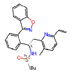 C=Cc1ccc(C)c(C[C@H](N[S@@+]([O-])C(C)(C)C)c2ccccc2-c2noc3ccccc23)n1